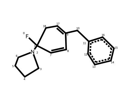 FC1(N2CCCC2)C=CC(Cc2ccccc2)=CC1